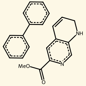 COC(=O)c1cc2c(cn1)NCC=C2.c1ccc(-c2ccccc2)cc1